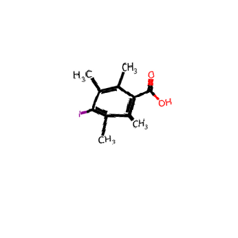 Cc1c(C)c(C(=O)O)c(C)c(C)c1I